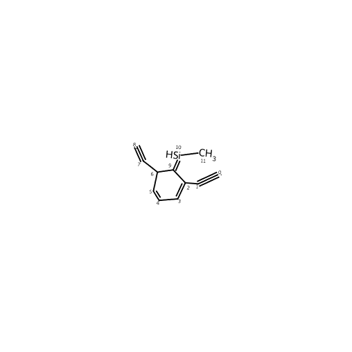 [C]#CC1=CC=CC(C#[C])C1=[SiH]C